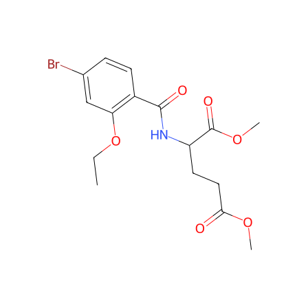 CCOc1cc(Br)ccc1C(=O)NC(CCC(=O)OC)C(=O)OC